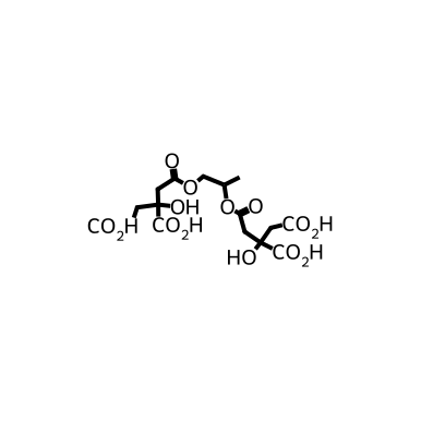 CC(COC(=O)CC(O)(CC(=O)O)C(=O)O)OC(=O)CC(O)(CC(=O)O)C(=O)O